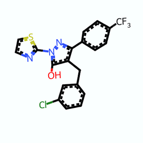 Oc1c(Cc2cccc(Cl)c2)c(-c2ccc(C(F)(F)F)cc2)nn1-c1nccs1